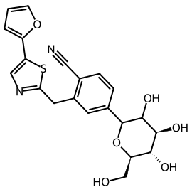 N#Cc1ccc(C2O[C@H](CO)[C@@H](O)[C@H](O)C2O)cc1Cc1ncc(-c2ccco2)s1